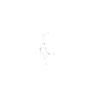 C=C(N/C(=C/NC)C(NC)N1CCN(CCO)C1OC)C1=CSC(C2=CCN(C)C=C2)N1C